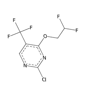 FC(F)COc1nc(Cl)ncc1C(F)(F)F